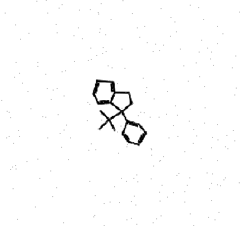 CC(C)(C)C1(c2ccccc2)[CH]Cc2ccccc21